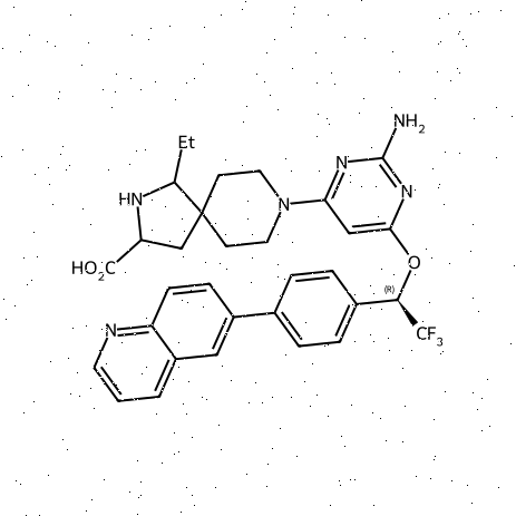 CCC1NC(C(=O)O)CC12CCN(c1cc(O[C@H](c3ccc(-c4ccc5ncccc5c4)cc3)C(F)(F)F)nc(N)n1)CC2